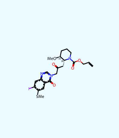 C=CCOC(=O)N1CCC[C@H](OC)[C@H]1CC(=O)Cn1cnc2cc(I)c(SC)cc2c1=O